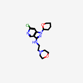 Clc1cc2c(cn1)c(NCCN1CCOCC1)nn2C1CCCCO1